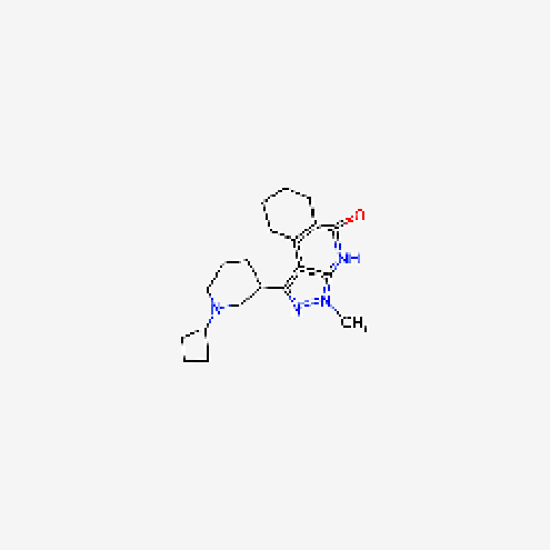 Cn1nc(C2CCCN(C3CCC3)C2)c2c3c(c(=O)[nH]c21)CCCC3